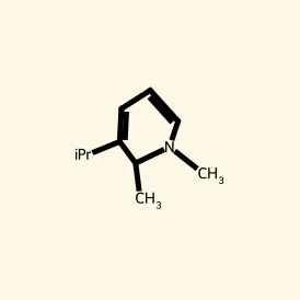 CC(C)C1=CC=CN(C)C1C